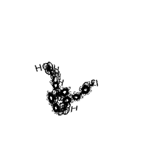 CC(=O)O.CO.ClCCl.O=P(O)(O)O.O=P(O)(Oc1ccccc1)Oc1ccccc1.O=P(Oc1ccccc1)(Oc1ccccc1)Oc1ccccc1.c1ccc(-c2ccccc2)cc1